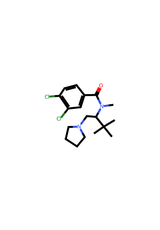 CN(C(=O)c1ccc(Cl)c(Cl)c1)C(CN1CCCC1)C(C)(C)C